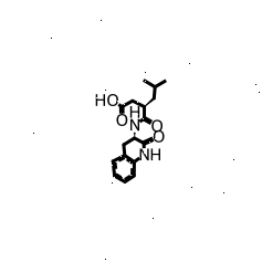 CC(C)C[C@H](CC(=O)O)C(=O)N[C@H]1Cc2ccccc2NC1=O